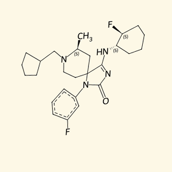 C[C@H]1CC2(CCN1CC1CCCC1)C(N[C@H]1CCCC[C@@H]1F)=NC(=O)N2c1cccc(F)c1